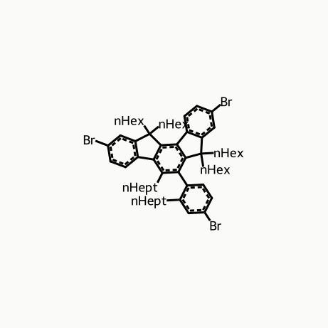 CCCCCCCc1cc(Br)ccc1-c1c(CCCCCCC)c2c(c3c1C(CCCCCC)(CCCCCC)c1cc(Br)ccc1-3)C(CCCCCC)(CCCCCC)c1cc(Br)ccc1-2